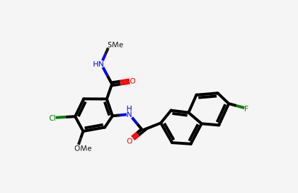 COc1cc(NC(=O)c2ccc3cc(F)ccc3c2)c(C(=O)NSC)cc1Cl